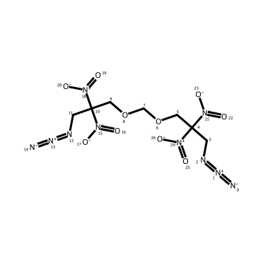 [N-]=[N+]=NCC(COCOCC(CN=[N+]=[N-])([N+](=O)[O-])[N+](=O)[O-])([N+](=O)[O-])[N+](=O)[O-]